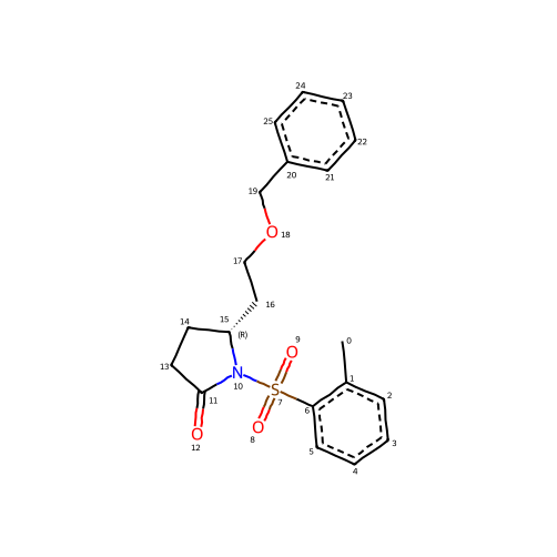 Cc1ccccc1S(=O)(=O)N1C(=O)CC[C@@H]1CCOCc1ccccc1